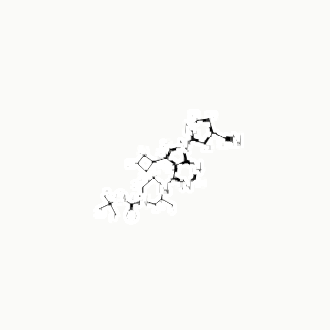 CC1CN(C(=O)OC(C)(C)C)CCN1c1ncnc2c1c(C1CCC1)cn2-c1cc(C#N)ccn1